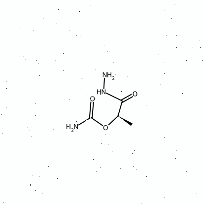 C[C@@H](OC(N)=O)C(=O)NN